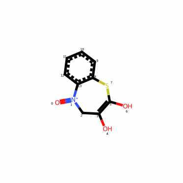 O=[N+]1CC(O)=C(O)Sc2ccccc21